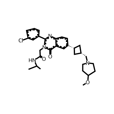 COC1CCN(C[C@H]2C[C@@H](c3ccc4nc(-c5cccc(Cl)c5)n(CC(=O)NC(C)C)c(=O)c4c3)C2)CC1